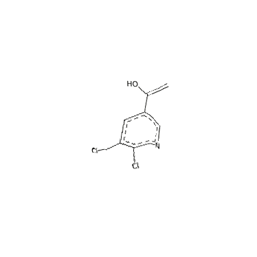 C=C(O)c1cnc(Cl)c(Cl)c1